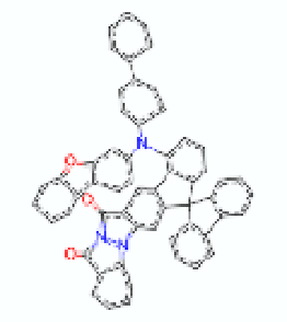 O=c1c2ccccc2n2c3cc4c(cc3c(=O)n12)-c1c(N(c2ccc(-c3ccccc3)cc2)c2ccc3c(c2)oc2ccccc23)cccc1C41c2ccccc2-c2ccccc21